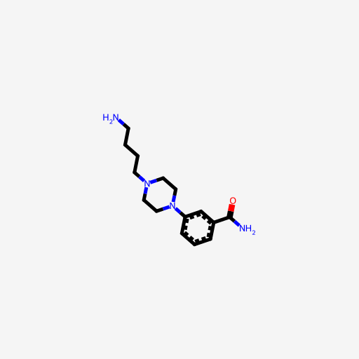 NCCCCN1CCN(c2cccc(C(N)=O)c2)CC1